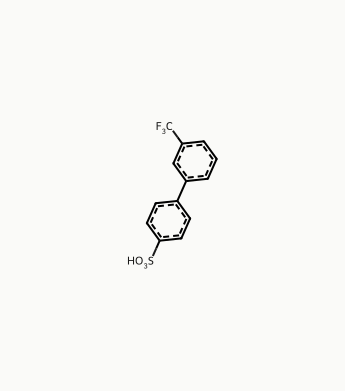 O=S(=O)(O)c1ccc(-c2cccc(C(F)(F)F)c2)cc1